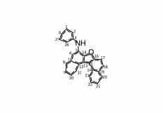 c1ccc(Nc2cc3ccccc3c3c2oc2ccc4ccccc4c23)cc1